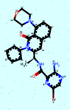 C[C@H](NC(=O)c1nc(Br)cnc1N)c1cc2cccc(N3CCOCC3)c2c(=O)n1-c1ccccc1